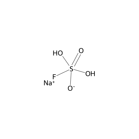 O=S([O-])(O)(O)F.[Na+]